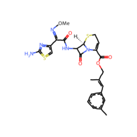 CO/N=C(\C(=O)NC1C(=O)N2C(C(=O)OC/C(C)=C/c3cccc(C)c3)=CCS[C@H]12)c1csc(N)n1